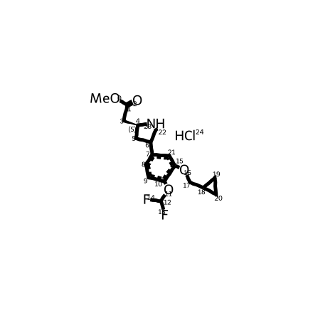 COC(=O)C[C@@H]1CC(c2ccc(OC(F)F)c(OCC3CC3)c2)CN1.Cl